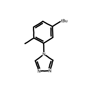 Cc1ccc(C(C)(C)C)cc1-n1cnnc1